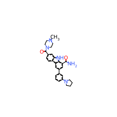 CN1CCN(C(=O)c2ccc3c(c2)[nH]c2c(C(N)=O)cc(-c4cccc(N5CCCC5)c4)cc23)CC1